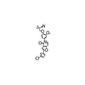 COc1cc(-n2ccc3oc(-c4ccc(Cl)s4)cc3c2=O)ccc1OCC1(C#N)CC1